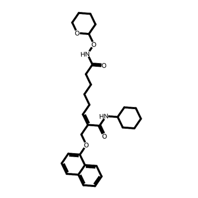 O=C(CCCCC=C(COc1cccc2ccccc12)C(=O)NC1CCCCC1)NOC1CCCCO1